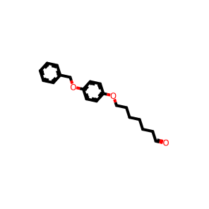 O=CCCCCCCOc1ccc(OCc2ccccc2)cc1